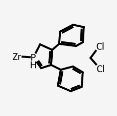 ClCCl.[Zr][PH]1=CC(c2ccccc2)=C(c2ccccc2)C1